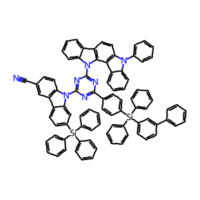 N#Cc1ccc2c(c1)c1ccc([Si](c3ccccc3)(c3ccccc3)c3ccccc3)cc1n2-c1nc(-c2ccc([Si](c3ccccc3)(c3ccccc3)c3cccc(-c4ccccc4)c3)cc2)nc(-n2c3ccccc3c3ccc4c(c5ccccc5n4-c4ccccc4)c32)n1